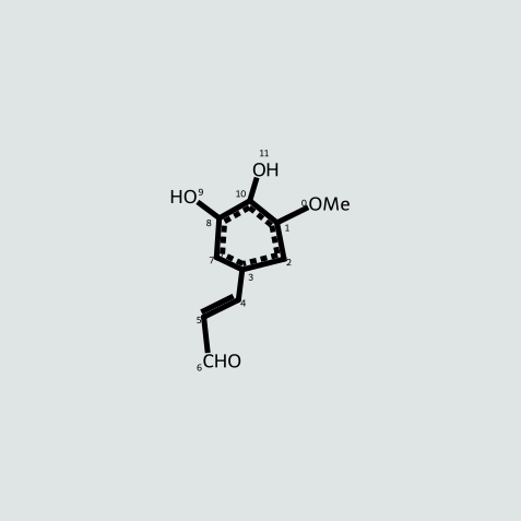 COc1cc(C=CC=O)cc(O)c1O